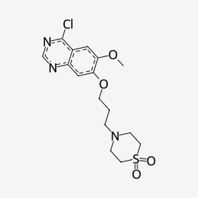 COc1cc2c(Cl)ncnc2cc1OCCCN1CCS(=O)(=O)CC1